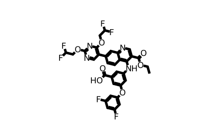 CCOC(=O)c1cnc2cc(-c3cnc(OCC(F)F)nc3OCC(F)F)ccc2c1Nc1cc(Oc2cc(F)cc(F)c2)cc(C(=O)O)c1